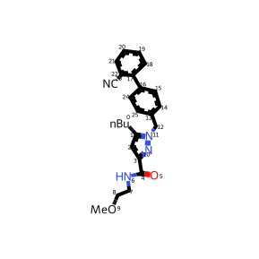 CCCCc1cc(C(=O)NCCOC)nn1Cc1ccc(-c2ccccc2C#N)cc1